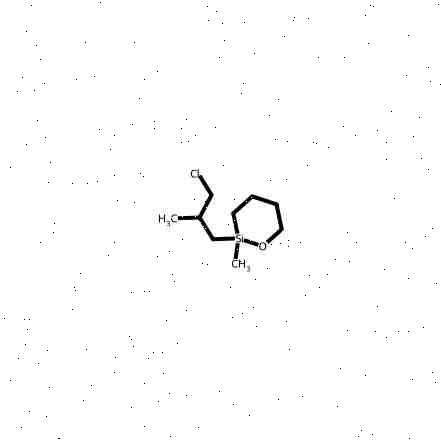 CC(CCl)C[Si]1(C)CCCCO1